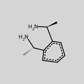 C[C@H](N)c1ccccc1[C@H](C)N